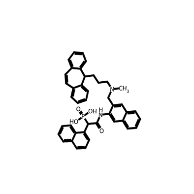 CN(CCCC1c2ccccc2C=Cc2ccccc21)Cc1cc2ccccc2cc1NC(=O)C(c1cccc2ccccc12)P(=O)(O)O